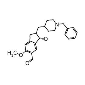 COc1cc2c(cc1C=O)C(=O)C(CC1CCN(Cc3ccccc3)CC1)C2